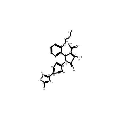 CCOCOc1ccccc1C1C(C(=O)C(C)C)=C(O)C(=O)N1c1ccc(-c2noc(C)n2)cc1